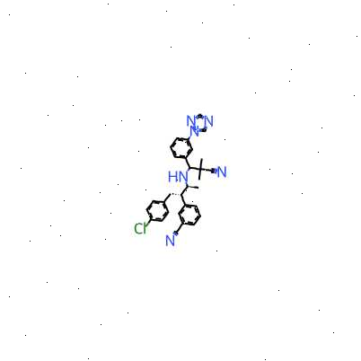 C[C@H](NC(c1cccc(-n2cncn2)c1)C(C)(C)C#N)[C@@H](Cc1ccc(Cl)cc1)c1cccc(C#N)c1